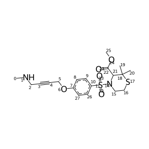 CNCC#CCOc1ccc(S(=O)(=O)N2CCSC(C)(C)C2C(=O)OC)cc1